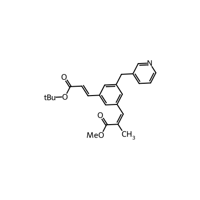 COC(=O)C(C)=Cc1cc(C=CC(=O)OC(C)(C)C)cc(Cc2cccnc2)c1